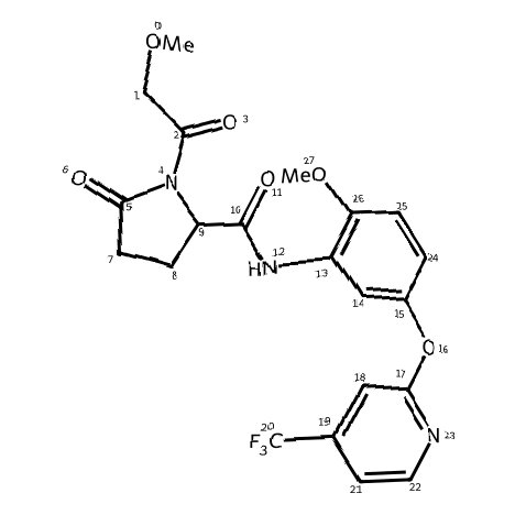 COCC(=O)N1C(=O)CCC1C(=O)Nc1cc(Oc2cc(C(F)(F)F)ccn2)ccc1OC